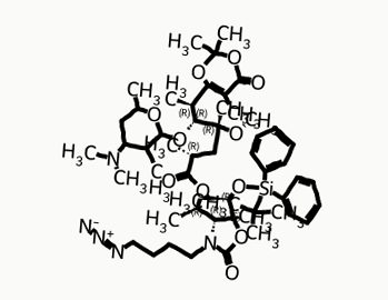 CC[C@@H](O[Si](c1ccccc1)(c1ccccc1)C(C)(C)C)[C@@]1(C)OC(=O)N(CCCCN=[N+]=[N-])[C@@H]1[C@@H](C)OC(=O)[C@H](C)C[C@@](C)(OC)[C@H](OC1OC(C)CC(N(C)C)C1C)[C@@H](C)C1=C(C)C(=O)OC(C)(C)O1